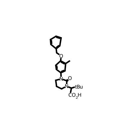 Cc1cc(N2CCCN(C(C(=O)O)C(C)(C)C)C2=O)ccc1OCc1ccccc1